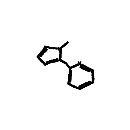 Cn1cccc1-c1ccccn1